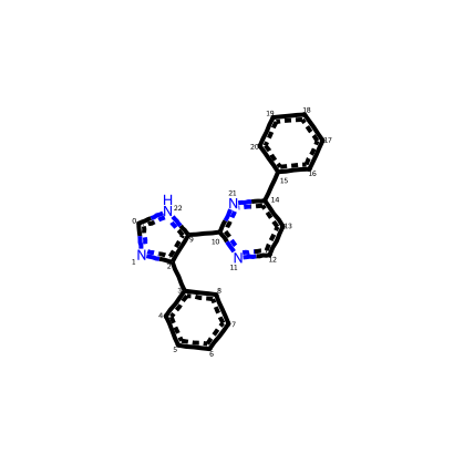 [c]1nc(-c2ccccc2)c(-c2nccc(-c3ccccc3)n2)[nH]1